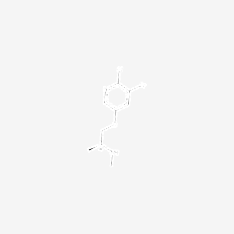 CN[C@@H](C)COc1cnc(Cl)c(Br)c1